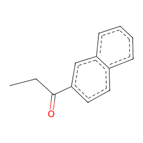 CCC(=O)c1ccc2ccccc2c1